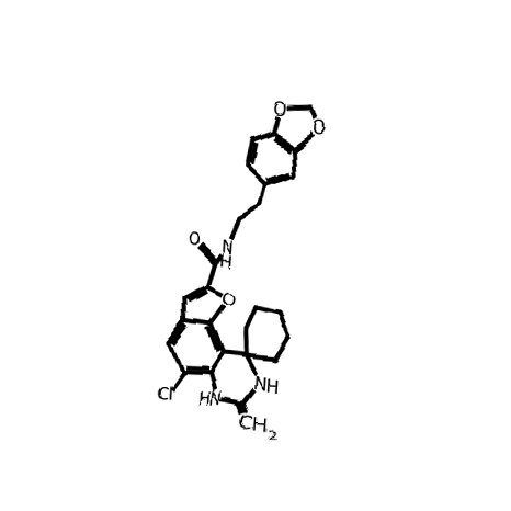 C=C1Nc2c(Cl)cc3cc(C(=O)NCCc4ccc5c(c4)OCO5)oc3c2C2(CCCCC2)N1